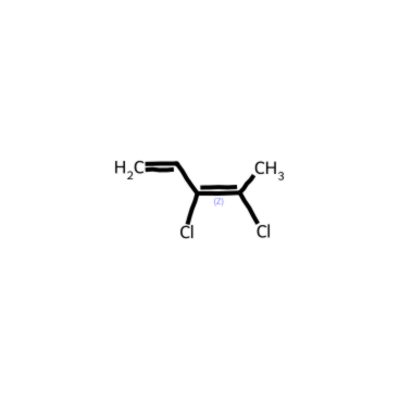 C=C/C(Cl)=C(\C)Cl